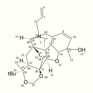 C=CCN1CC[C@]23C4=C5C=CC(C)(O)C4O[C@H]2[C@@]24CC[C@@]3(C[C@@H]2[C@@](C)(C(C)(C)C)OCO4)[C@H]1C5